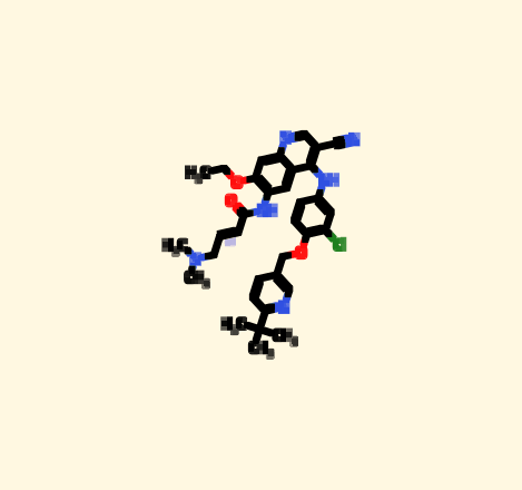 CCOc1cc2ncc(C#N)c(Nc3ccc(OCc4ccc(C(C)(C)C)nc4)c(Cl)c3)c2cc1NC(=O)/C=C/CN(C)C